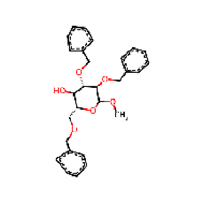 COC1O[C@H](COCc2ccccc2)[C@@H](O)[C@H](OCc2ccccc2)[C@H]1OCc1ccccc1